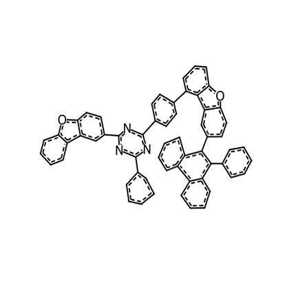 c1ccc(-c2nc(-c3ccc(-c4cccc5oc6ccc(-c7c(-c8ccccc8)c8ccccc8c8ccccc78)cc6c45)cc3)nc(-c3ccc4oc5ccccc5c4c3)n2)cc1